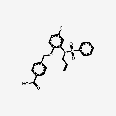 C=CCN(c1cc(Cl)ccc1OCc1ccc(C(=O)O)cc1)S(=O)(=O)c1ccccc1